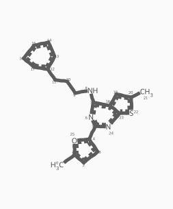 Cc1ccc(-c2nc(NCCCc3ccccc3)c3cc(C)sc3n2)o1